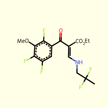 CCOC(=O)C(=CNCC(C)(F)F)C(=O)c1cc(F)c(F)c(OC)c1F